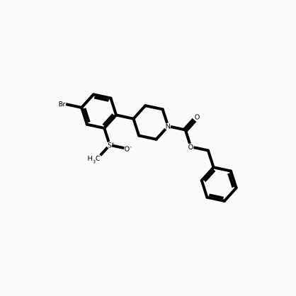 C[S+]([O-])c1cc(Br)ccc1C1CCN(C(=O)OCc2ccccc2)CC1